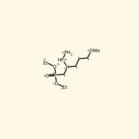 CCOP(=O)(CN(CCCOC)PP)OCC